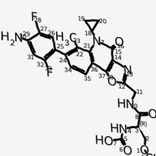 COC[C@@H](NC(=O)O)C(=O)NCc1nc2c(=O)n(C3CC3)c3c(C)c(-c4cc(F)c(N)cc4F)ccc3c2o1